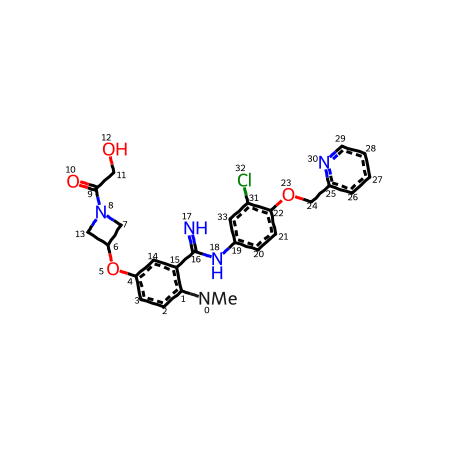 CNc1ccc(OC2CN(C(=O)CO)C2)cc1C(=N)Nc1ccc(OCc2ccccn2)c(Cl)c1